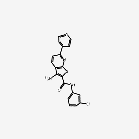 Nc1c(C(=O)Nc2cccc(Cl)c2)sc2nc(-c3ccncc3)ccc12